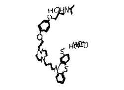 CSc1ccc2c(c1)N(CCCN1CCN(CCOc3ccc(OC[C@@H](O)CNC(C)C)cc3)CC1)c1ccccc1S2.Cl.Cl.Cl